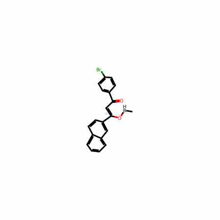 CBO/C(=C\C(=O)c1ccc(Br)cc1)c1ccc2ccccc2c1